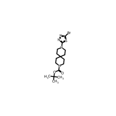 CC(C)(C)OC(=O)N1CCC2(CC1)CCN(c1nnc(Br)s1)CC2